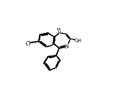 OC1=CNc2ccc(Cl)cc2C(c2ccccc2)=N1